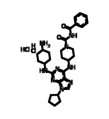 Cl.Cl.NC1CCC(Nc2nc(NC3CCN(C(=O)NC(=O)c4ccccc4)CC3)c3ncn(C4CCCC4)c3n2)CC1